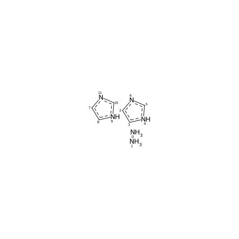 N.N.c1c[nH]cn1.c1c[nH]cn1